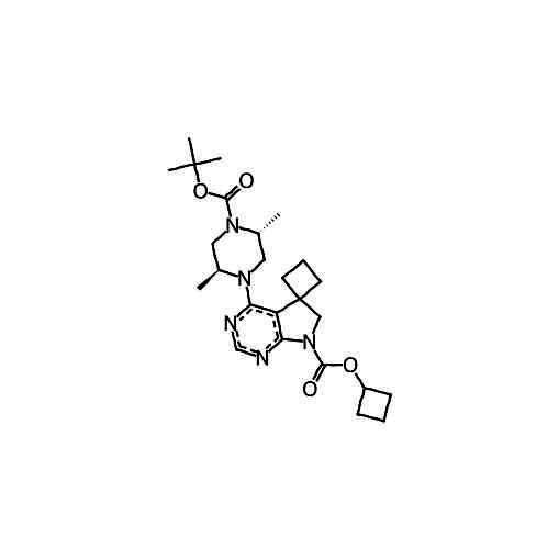 C[C@@H]1CN(c2ncnc3c2C2(CCC2)CN3C(=O)OC2CCC2)[C@@H](C)CN1C(=O)OC(C)(C)C